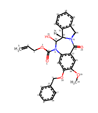 C=CCOC(=O)N1c2cc(OCc3ccccc3)c(OC)cc2C(=O)N2Cc3ccccc3[C@H]2C1O